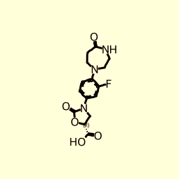 O=C1CCN(c2ccc(N3C[C@H](C(=O)O)OC3=O)cc2F)CCN1